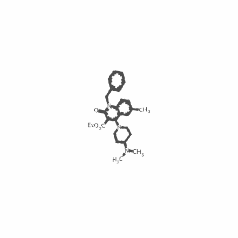 CCOC(=O)c1c(N2CCC(N(C)C)CC2)c2cc(C)ccc2n(Cc2ccccc2)c1=O